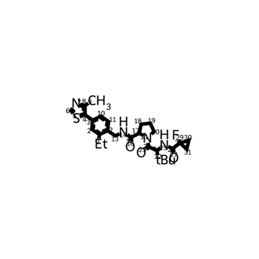 CCc1cc(-c2scnc2C)ccc1CNC(=O)C1CCCN1C(=O)C(NC(=O)C1(F)CC1)C(C)(C)C